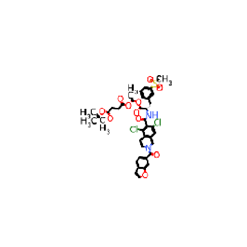 CC(OC(=O)CCC(=O)OC(C)(C)C)OC(=O)[C@H](Cc1cccc(S(C)(=O)=O)c1)NC(=O)c1c(Cl)cc2c(c1Cl)CCN(C(=O)c1ccc3ccoc3c1)C2